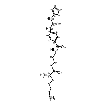 NCCCC[C@H](N)C(=O)CCCCNC(=O)c1ccc(NC(=O)NC2=CC=CC2)cc1